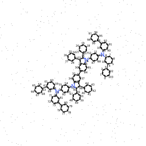 c1ccc(-c2cccc(N(c3ccc(-n4c(-c5ccccc5)c(-c5ccccc5)c5cc(-c6ccc7c(c6)c(-c6ccccc6)c(-c6ccccc6)n7-c6ccc(N(c7cccc(-c8ccccc8)c7)c7cccc(-c8ccccc8)c7)cc6)ccc54)cc3)c3cccc(-c4ccccc4)c3)c2)cc1